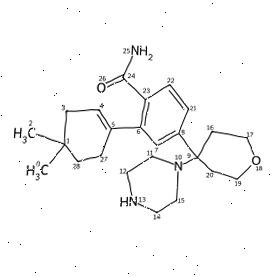 CC1(C)CC=C(c2cc(C3(N4CCNCC4)CCOCC3)ccc2C(N)=O)CC1